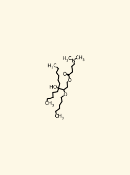 CCCCCCOC(CCOC(=O)CCCN(C)C)C(O)(CCCCC)CCCCCC